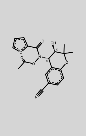 CC(=O)ON(C(=O)c1ccco1)[C@H]1c2cc(C#N)ccc2OC(C)(C)[C@@H]1O